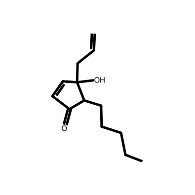 C=CCC1(O)C=CC(=O)C1CCCCC